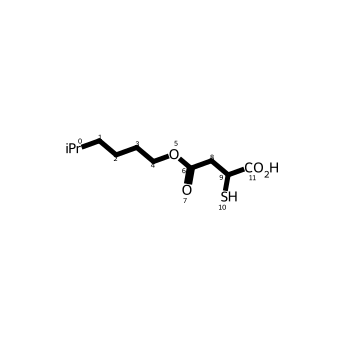 CC(C)CCCCOC(=O)CC(S)C(=O)O